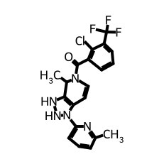 Cc1cccc(N2NNC3=C2C=CN(C(=O)c2cccc(C(F)(F)F)c2Cl)C3C)n1